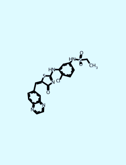 CCS(=O)(=O)Nc1ccc(Cl)c(NC2=NC(=O)C(=Cc3ccc4nccnc4c3)S2)c1